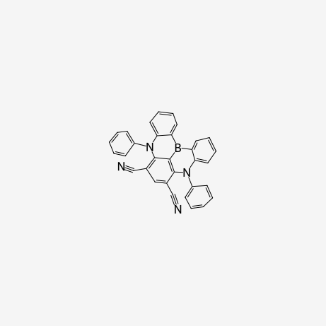 N#Cc1cc(C#N)c2c3c1N(c1ccccc1)c1ccccc1B3c1ccccc1N2c1ccccc1